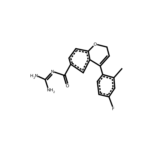 Cc1cc(F)ccc1C1=CCOc2ccc(C(=O)N=C(N)N)cc21